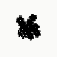 CC1(C)c2ccccc2-c2cc3c4c(c21)-c1cccc2c5cc6ccccc6cc5n(c12)B4c1ccc(-c2ccccc2)cc1N3c1cccc2c1oc1ccccc12